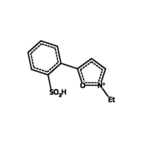 CC[n+]1ccc(-c2ccccc2S(=O)(=O)O)o1